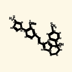 COc1cc(C=Cc2nc3n(n2)CCCC3(O)c2ccc(C)cc2)ccc1-n1cnc(C)c1